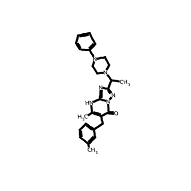 Cc1cccc(Cc2c(C)[nH]c3nc(C(C)N4CCN(c5ccccc5)CC4)nn3c2=O)c1